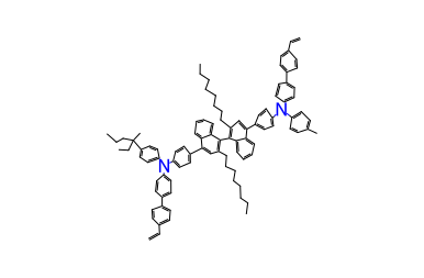 C=Cc1ccc(-c2ccc(N(c3ccc(C)cc3)c3ccc(-c4cc(CCCCCCCC)c(-c5c(CCCCCCCC)cc(-c6ccc(N(c7ccc(-c8ccc(C=C)cc8)cc7)c7ccc(C(C)(CC)CCC)cc7)cc6)c6ccccc56)c5ccccc45)cc3)cc2)cc1